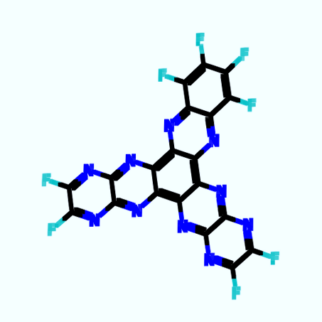 Fc1nc2nc3c4nc5nc(F)c(F)nc5nc4c4nc5c(F)c(F)c(F)c(F)c5nc4c3nc2nc1F